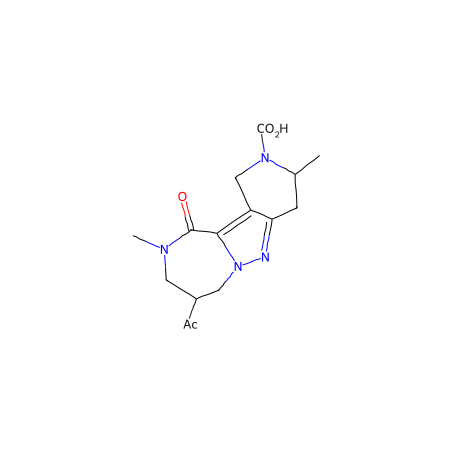 CC(=O)C1CN(C)C(=O)c2c3c(nn2C1)CC(C)N(C(=O)O)C3